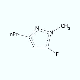 CCCc1[c]c(F)n(C)n1